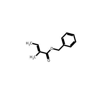 CC=C(C)C(=O)OCc1ccccc1